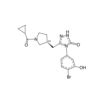 O=C(C1CC1)N1CC[C@@H](Cc2n[nH]c(=O)n2-c2ccc(Br)c(O)c2)C1